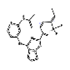 C=C(C)Nc1cc(Nc2nc(C(=C)/C=C\C(=C/C)C(F)(F)F)nn3cccc23)ccn1